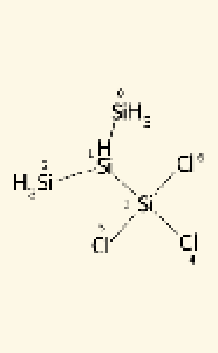 [SiH3][SiH]([SiH3])[Si](Cl)(Cl)Cl